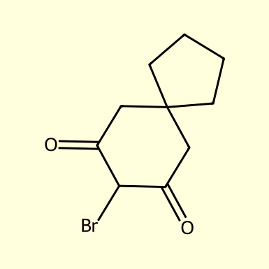 O=C1CC2(CCCC2)CC(=O)C1Br